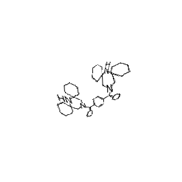 O=C(c1ccc(C(=O)N2CC3(CCCCC3)NC3(CCCCC3)C2)cc1)N1CC2(CCCCC2)NC2(CCCCC2)C1